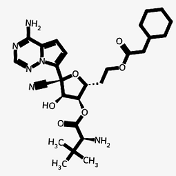 CC(C)(C)[C@H](N)C(=O)O[C@H]1[C@@H](O)[C@](C#N)(c2ccc3c(N)ncnn23)O[C@@H]1CCOC(=O)CC1CCCCC1